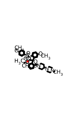 COc1ccc(S(=O)(=O)N2C(=O)C(OC(=O)N3CCC(N4CCN(C)CC4)CC3)(c3ccccc3OC(C)C)c3cc(OC)ccc32)cc1